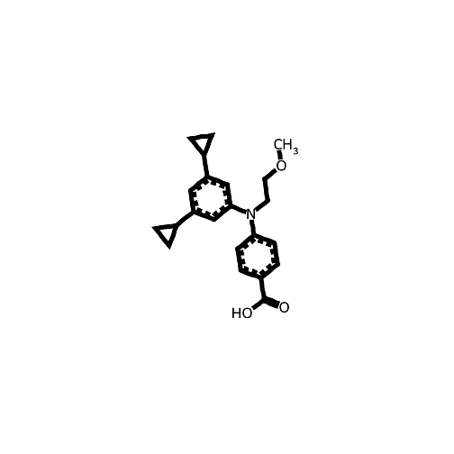 COCCN(c1ccc(C(=O)O)cc1)c1cc(C2CC2)cc(C2CC2)c1